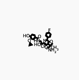 C[C@]1(C(N)=O)COc2c1cc(C(O)(CNC(=O)c1ccc(O)c(OC3CC3)c1)C(F)(F)F)nc2-c1ccc(F)cc1